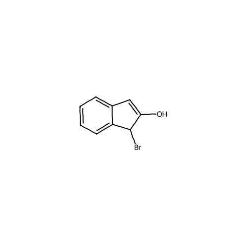 OC1=Cc2ccccc2C1Br